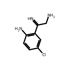 N=C(CN)c1cc(Cl)ccc1N